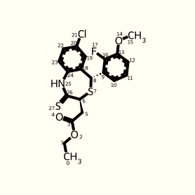 CCOC(=O)C[C@@H]1S[C@@H](c2cccc(OC)c2F)c2cc(Cl)ccc2NC1=S